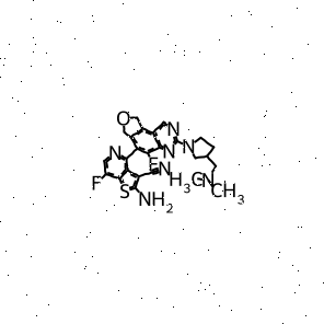 CN(C)CC1CCN(c2ncc3c4c(c(-c5ncc(F)c6sc(N)c(C#N)c56)c(F)c3n2)COC4)C1